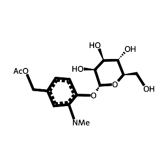 CNc1cc(COC(C)=O)ccc1O[C@H]1O[C@H](CO)[C@@H](O)[C@H](O)[C@@H]1O